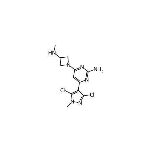 CNC1CN(c2cc(-c3c(Cl)nn(C)c3Cl)nc(N)n2)C1